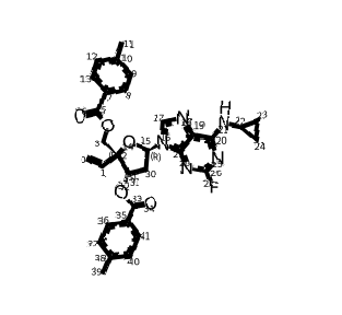 C=C[C@]1(COC(=O)c2ccc(C)cc2)O[C@@H](n2cnc3c(NC4CC4)nc(F)nc32)C[C@@H]1OC(=O)c1ccc(C)cc1